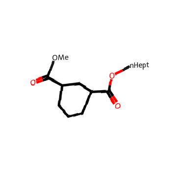 CCCCCCCOC(=O)C1CCCC(C(=O)OC)C1